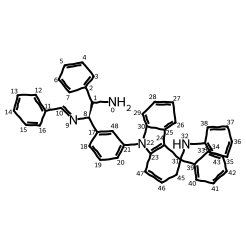 NC(c1ccccc1)[C@H](/N=C/c1ccccc1)c1cccc(-n2c3c(c4ccccc42)C(Nc2ccccc2)(c2ccccc2)CC=C3)c1